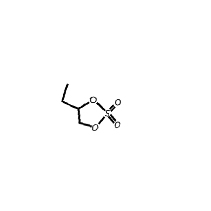 CCC1COS(=O)(=O)O1